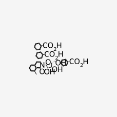 Cc1cccc2ccn([C@@H]3O[C@H](CO)[C@@H](O)[C@H]3O)c(=O)c12.O=C(O)c1ccccc1.O=C(O)c1ccccc1.O=C(O)c1ccccc1